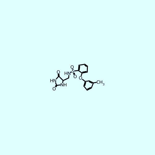 Cc1cccc(Oc2ccccc2S(=O)(=O)NCC2NC(=O)NC2=O)c1